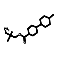 CC1CCC(C2CCC(C(=O)OCC(C)(C)CP)CC2)CC1